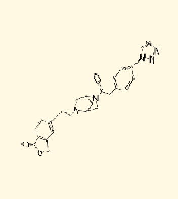 O=C1OCc2cc(CCN3CC4CC3CN4C(=O)Cc3ccc(-n4cnnn4)cc3)ccc21